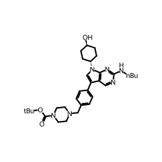 CCCCNc1ncc2c(-c3ccc(CN4CCN(C(=O)OC(C)(C)C)CC4)cc3)cn([C@H]3CC[C@H](O)CC3)c2n1